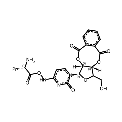 CC(C)[C@H](N)C(=O)ONc1ccn([C@@H]2OC(CO)[C@H]3OC(=O)c4ccccc4C(=O)O[C@H]32)c(=O)n1